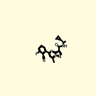 Cc1cc(-c2cccc(F)c2C#N)nc2c(C(=O)NC(C)C3CC3)cnn12